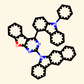 c1ccc(-n2c3ccccc3c3c(-c4nc(-n5c6ccccc6c6cc7ccccc7cc65)nc5oc6ccccc6c45)cccc32)cc1